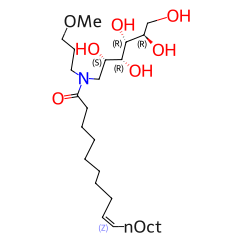 CCCCCCCC/C=C\CCCCCCCC(=O)N(CCCOC)C[C@H](O)[C@@H](O)[C@H](O)[C@H](O)CO